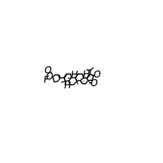 CC(C)C1=C2[C@H]3CC[C@@H]4[C@@]5(C)CC=C(C6=CC[C@](CF)(OC=O)CC6)C(C)(C)[C@@H]5CC[C@@]4(C)[C@]3(C)CC[C@@]2(C=O)CC1=O